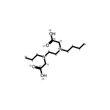 CCCCN(CCN(CCC)CC(=O)O)CC(=O)O